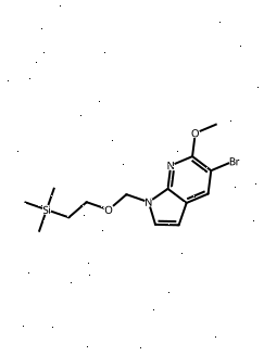 COc1nc2c(ccn2COCC[Si](C)(C)C)cc1Br